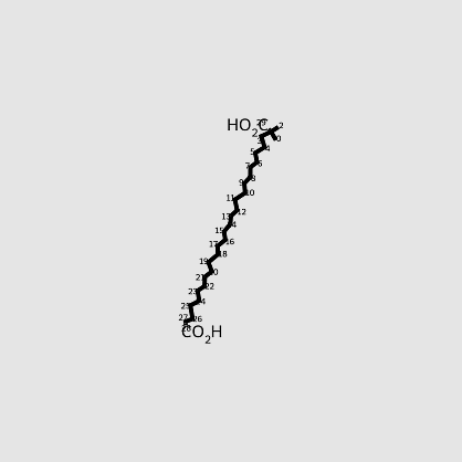 CC(C)(CCCCCCCCCCCCCCCCCCCCCCCCCC(=O)O)C(=O)O